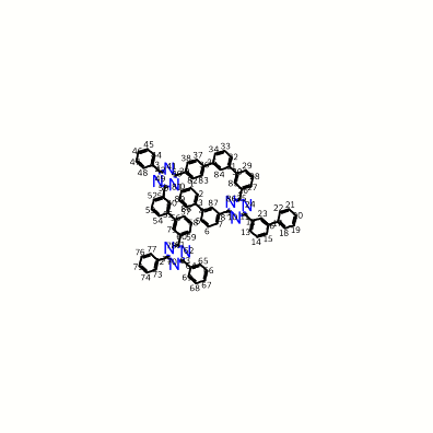 c1ccc(-c2cccc(-c3nc(-c4cccc(-c5ccccc5)c4)nc(-c4cccc(-c5cccc(-c6ccc(-c7nc(-c8ccccc8)nc(-c8cccc(-c9cccc(-c%10nc(-c%11ccccc%11)nc(-c%11ccccc%11)n%10)c9)c8)n7)cc6)c5)c4)n3)c2)cc1